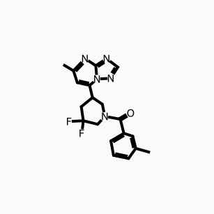 Cc1cccc(C(=O)N2CC(c3cc(C)nc4ncnn34)CC(F)(F)C2)c1